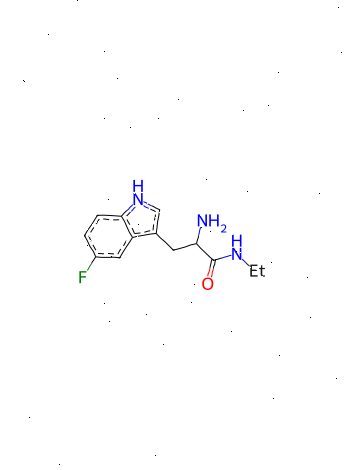 CCNC(=O)C(N)Cc1c[nH]c2ccc(F)cc12